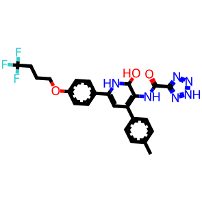 Cc1ccc(C2=C(NC(=O)c3nn[nH]n3)C(O)NC(c3ccc(OCCCC(F)(F)F)cc3)=C2)cc1